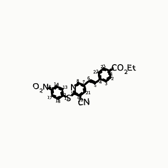 CCOC(=O)c1ccc(C=Cc2cnc(Sc3ccc([N+](=O)[O-])cc3)c(C#N)c2)cc1